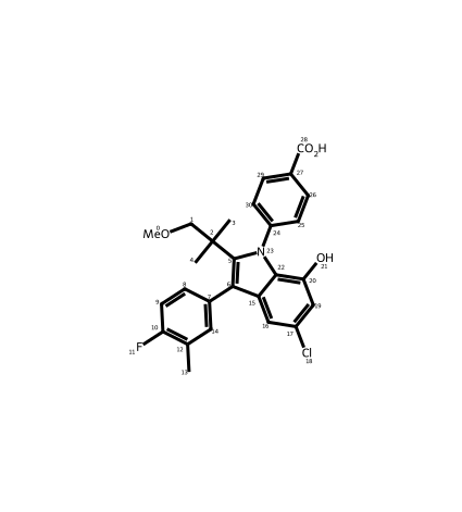 COCC(C)(C)c1c(-c2ccc(F)c(C)c2)c2cc(Cl)cc(O)c2n1-c1ccc(C(=O)O)cc1